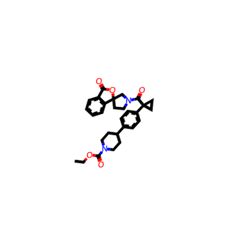 CCOC(=O)N1CCC(c2ccc(C3(C(=O)N4CCC5(C4)OC(=O)c4ccccc45)CC3)cc2)CC1